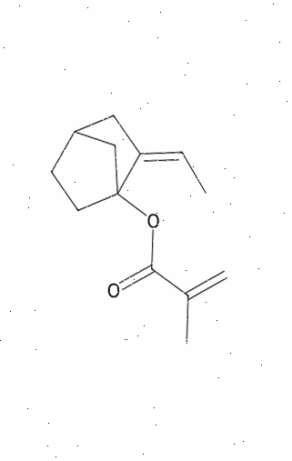 C=C(C)C(=O)OC12CCC(CC1=CC)C2